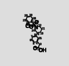 O=C(O)Cc1cccc(C2CCCN(S(=O)(=O)c3ccccc3Cl)C2)c1